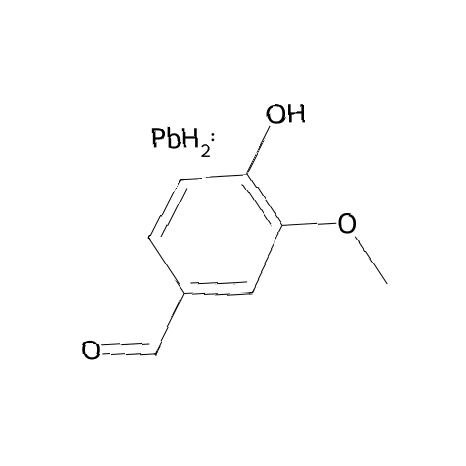 COc1cc(C=O)ccc1O.[PbH2]